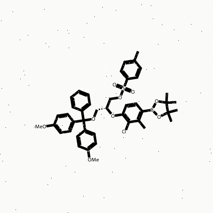 COc1ccc(C(OC[C@H](COS(=O)(=O)c2ccc(C)cc2)Oc2ccc(B3OC(C)(C)C(C)(C)O3)c(C)c2Cl)(c2ccccc2)c2ccc(OC)cc2)cc1